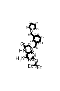 CCC(CC)Oc1nc(N)c2c(n1)N(Cc1cccc(CN3CCCC3)c1)CC(=O)N2